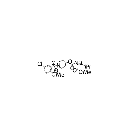 COC(=O)[C@H](CC(C)C)NC(=O)OC1CCN(S(=O)(=O)c2cc(Cl)ccc2OC)CC1